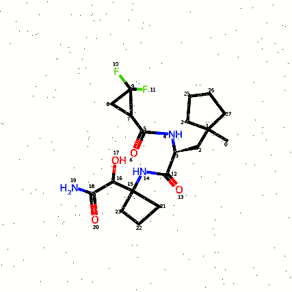 CC1(C[C@H](NC(=O)C2CC2(F)F)C(=O)NC2(C(O)C(N)=O)CCC2)CCCC1